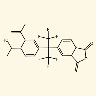 C=C1OC(=O)C2C=CC(C(C3=CC(C(=C)C)C(C(C)O)C=C3)(C(F)(F)F)C(F)(F)F)=CC12